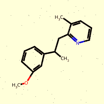 COc1cccc(C(C)Cc2ncccc2C)c1